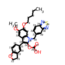 CCCCCOc1cc2c(cc1OC)c(-c1ccc3c(c1)CCO3)c(OC(=O)O)n2Cc1ccc2nsnc2c1